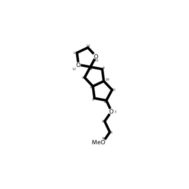 COCCOC1CC2CC3(CC2C1)OCCO3